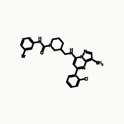 Bc1cnn2c(NCC3CCCN(C(=O)Nc4cccc(Br)c4)C3)cc(-c3ccccc3Cl)nc12